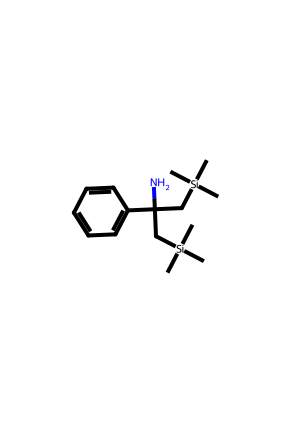 C[Si](C)(C)CC(N)(C[Si](C)(C)C)c1ccccc1